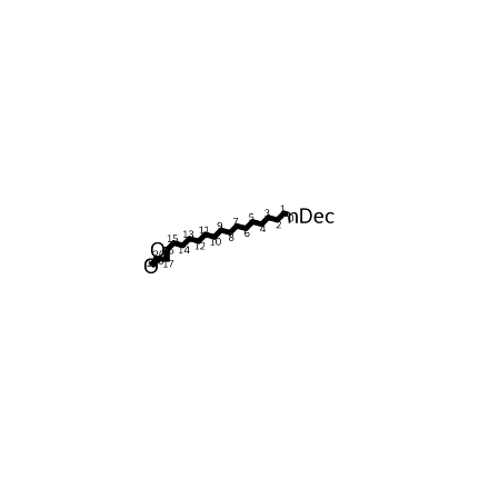 CCCCCCCCCCCCCCCCCCCCCCCCCC1CC(=O)O1